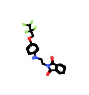 O=C1c2ccccc2C(=O)N1CCNc1ccc(OCC(F)(F)C(F)F)cc1